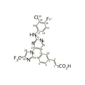 O=C(O)/C=C/c1cccc(-c2cnc(Nc3ccc(F)c(Cl)c3)nc2-n2cnc(C(F)(F)F)c2)c1